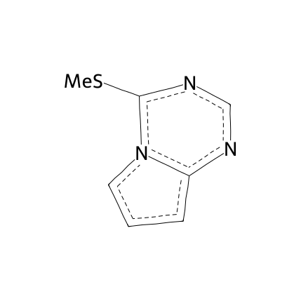 CSc1ncnc2cccn12